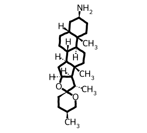 C[C@H]1CC[C@@]2(OC1)O[C@H]1C[C@H]3[C@@H]4CC[C@@H]5C[C@@H](N)CC[C@]5(C)[C@H]4CC[C@]3(C)[C@H]1[C@@H]2C